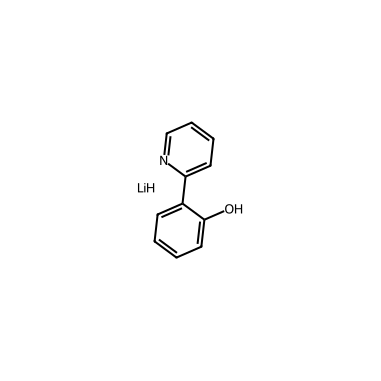 Oc1ccccc1-c1ccccn1.[LiH]